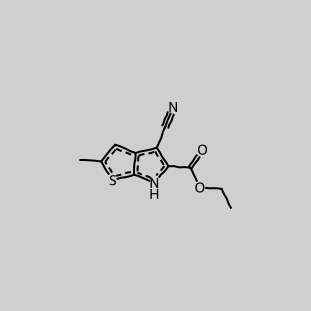 CCOC(=O)c1[nH]c2sc(C)cc2c1C#N